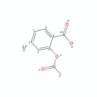 CC(=O)Oc1ccccc1C(=O)[O-].[Li+]